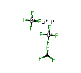 FC(F)F.F[B-](F)(F)F.F[B-](F)(F)F.[Li+].[Li+]